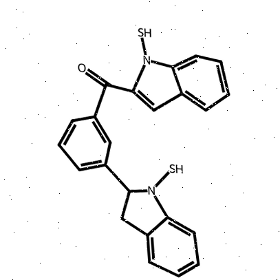 O=C(c1cccc(C2Cc3ccccc3N2S)c1)c1cc2ccccc2n1S